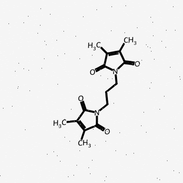 CC1=C(C)C(=O)N(CCCN2C(=O)C(C)=C(C)C2=O)C1=O